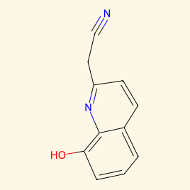 N#CCc1ccc2cccc(O)c2n1